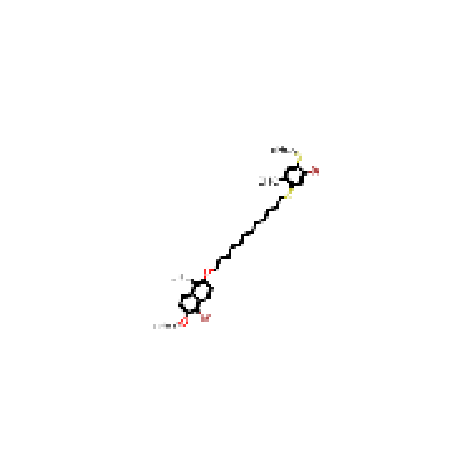 CCCCCCOc1ccc2c(C=O)c(OCCCCCCCCCCCCSc3cc(Br)c(SCCCCCC)cc3C=O)ccc2c1Br